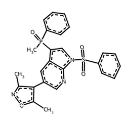 Cc1noc(C)c1-c1cnc2c(c1)c(P(C)(=O)c1ccccc1)cn2S(=O)(=O)c1ccccc1